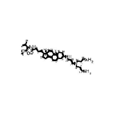 COC(=O)C(NC(=O)CCCC1CCC2C3CCC4CC(NCCCN(CCCN)CCCN)CCC4(C)C3CCC12C)C(C)C